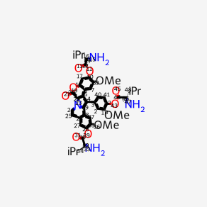 COc1cc(-c2c3c4cc(OC)c(OC(=O)[C@@H](N)C(C)C)cc4oc(=O)c3n3ccc4cc(OC(=O)[C@@H](N)C(C)C)c(OC)cc4c23)ccc1OC(=O)[C@@H](N)C(C)C